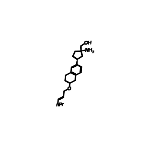 CCCC=CCO[C@H]1CCc2cc([C@H]3CC[C@](N)(CO)C3)ccc2C1